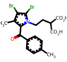 Cc1ccc(C(=O)c2c(C)c(Br)c(Br)n2CCC(C(=O)O)C(=O)O)cc1